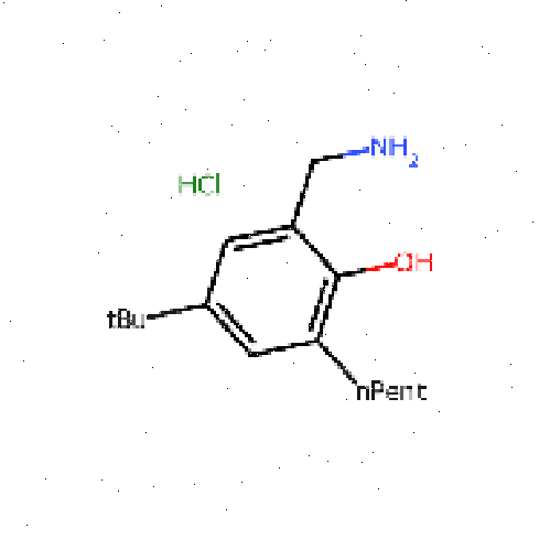 CCCCCc1cc(C(C)(C)C)cc(CN)c1O.Cl